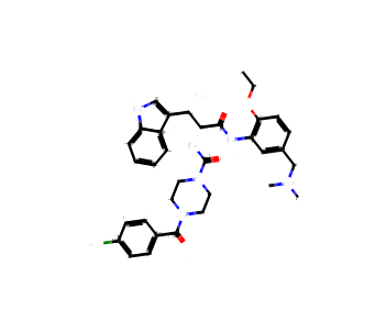 CCOc1ccc(CN(C)C)cc1NC(=O)[C@H](NC(=O)N1CCN(C(=O)c2ccc(F)cc2)CC1)[C@@H](C)c1c[nH]c2ccccc12